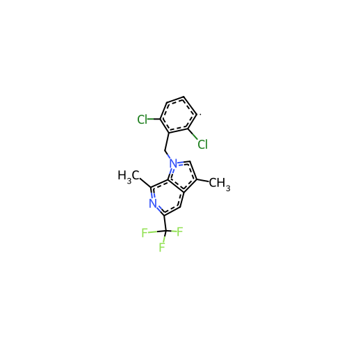 Cc1cn(Cc2c(Cl)[c]ccc2Cl)c2c(C)nc(C(F)(F)F)cc12